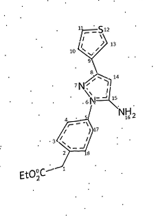 CCOC(=O)Cc1ccc(-n2nc(-c3ccsc3)cc2N)cc1